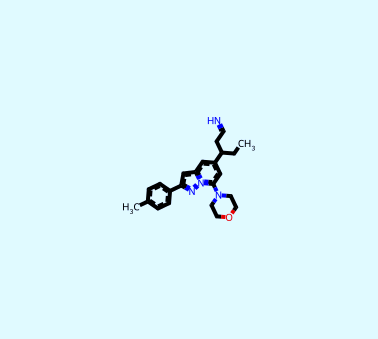 CCC(CC=N)c1cc(N2CCOCC2)n2nc(-c3ccc(C)cc3)cc2c1